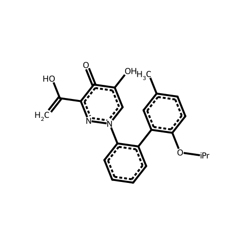 C=C(O)c1nn(-c2ccccc2-c2cc(C)ccc2OC(C)C)cc(O)c1=O